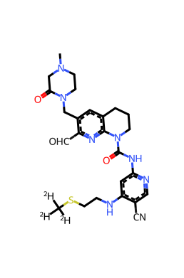 [2H]C([2H])([2H])SCCNc1cc(NC(=O)N2CCCc3cc(CN4CCN(C)CC4=O)c(C=O)nc32)ncc1C#N